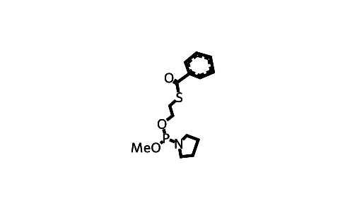 COP(OCCSC(=O)c1ccccc1)N1CCCC1